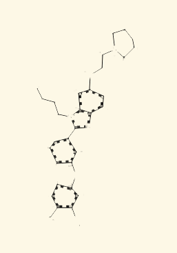 CCCCn1c(-c2cccc(Oc3ccc(Cl)c(Cl)c3)c2)nc2ccc(OCCN3CCCCC3)cc21